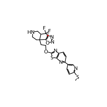 CSc1ccc(-c2ccc3nc(OCCC4(c5cnno5)CCNCC4C(F)(F)F)sc3n2)cn1